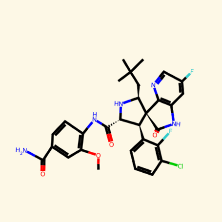 COc1cc(C(N)=O)ccc1NC(=O)[C@@H]1N[C@@H](CC(C)(C)C)[C@@]2(C(=O)Nc3cc(F)cnc32)[C@H]1c1cccc(Cl)c1F